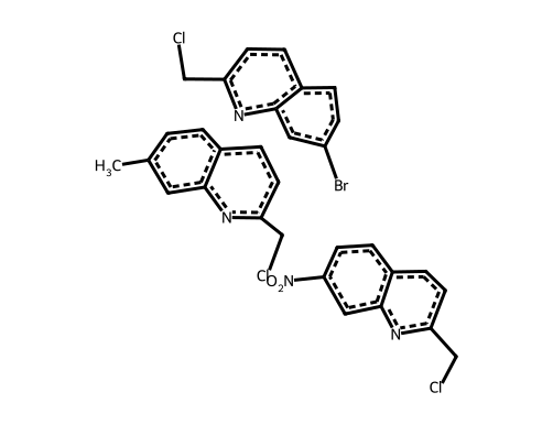 Cc1ccc2ccc(CCl)nc2c1.ClCc1ccc2ccc(Br)cc2n1.O=[N+]([O-])c1ccc2ccc(CCl)nc2c1